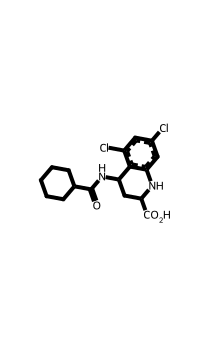 O=C(NC1CC(C(=O)O)Nc2cc(Cl)cc(Cl)c21)C1CCCCC1